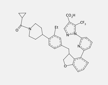 CCc1cc(CC2COc3cccc(-c4cccc(-n5ncc(C(=O)O)c5C(F)(F)F)n4)c32)ccc1C1CCN(C(=O)C2CC2)CC1